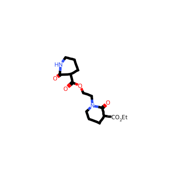 CCOC(=O)C1CCCN(CCOC(=O)C2CCCNC2=O)C1=O